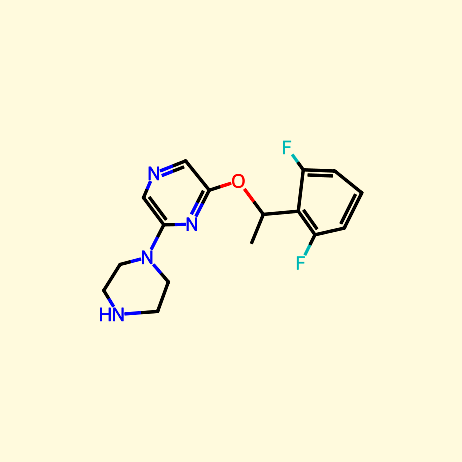 CC(Oc1cncc(N2CCNCC2)n1)c1c(F)cccc1F